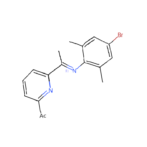 CC(=O)c1cccc(/C(C)=N/c2c(C)cc(Br)cc2C)n1